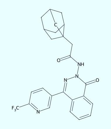 O=C(CC12CC3CC(CC1C3)C2)Nn1nc(-c2ccc(C(F)(F)F)nc2)c2ccccc2c1=O